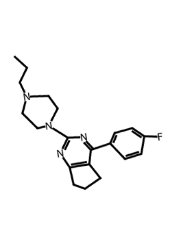 CCCN1CCN(c2nc3c(c(-c4ccc(F)cc4)n2)CCC3)CC1